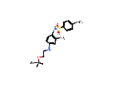 CC(=O)Nc1ccc(S(=O)(=O)Nc2ccc(NCCO[Si](C)(C)C(C)(C)C)cc2[N+](=O)[O-])cc1